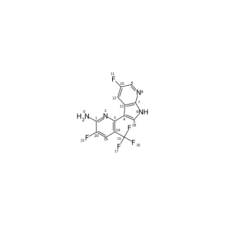 Nc1nc(-c2c[nH]c3ncc(F)cc23)c(C(F)(F)F)cc1F